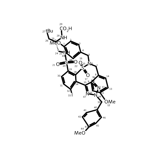 COc1ccc(CN(Cc2ccc(OC)cc2)S(=O)(=O)c2c(S(=O)(=O)NC[C@H](CC(C)(C)C)NC(=O)O)ccc(I)c2-c2nnn(Cc3ccc(OC)cc3)n2)cc1